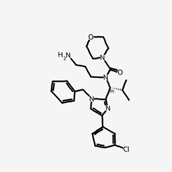 CC(C)[C@H](c1nc(-c2cccc(Cl)c2)cn1Cc1ccccc1)N(CCCN)C(=O)N1CCOCC1